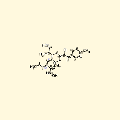 C=C/C=C(\C=C/C(=C)CN(CCC(C)CO)C(=O)Nc1ccc(C)cc1)C(=O)NO